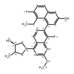 CCc1c(F)ccc2cc(O)cc(-c3ncc4c(N5CC(C)[C@@H](O)C5)nc(OC)nc4c3F)c12